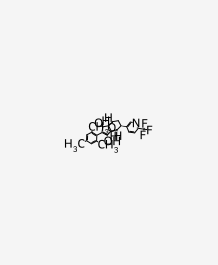 Cc1cc(C)c(C2=C(O)[C@@H]3[C@@H]4O[C@@H](C[C@H]4c4ccc(C(F)(F)F)nc4)[C@@H]3C2=O)c(C)c1